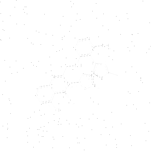 Cc1nnc(-c2c(N)ncnc2N[C@@H](C)c2nc3cccc(Cl)c3c(=O)n2-c2cn[nH]c2)o1